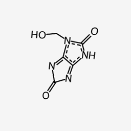 O=C1N=c2[nH]c(=O)n(CO)c2=N1